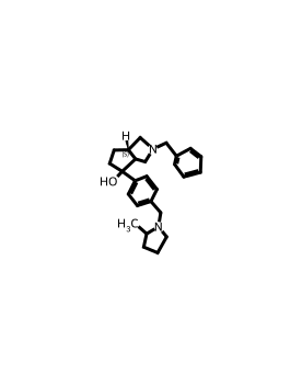 CC1CCCN1Cc1ccc(C2(O)CC[C@@H]3CN(Cc4ccccc4)CC32)cc1